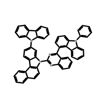 c1ccc(-n2c3ccccc3c3c(-c4nc(-n5c6cc(-n7c8ccccc8c8ccccc87)ccc6c6c7ccccc7ccc65)nc5ccccc45)cccc32)cc1